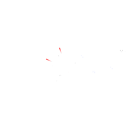 COc1ncnc2c1ccn2[C@@H]1O[C@H]([C@H](O)c2ccc3c(c2)CC3)[C@@H](O)[C@H]1O